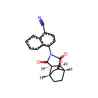 N#Cc1ccc(N2C(=O)[C@@H]3[C@H]4CC[C@H](C(=O)C4)[C@@H]3C2=O)c2ccccc12